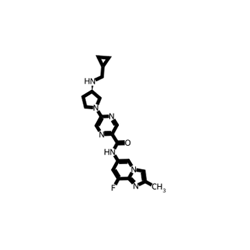 Cc1cn2cc(NC(=O)c3cnc(N4CC[C@H](NCC5CC5)C4)cn3)cc(F)c2n1